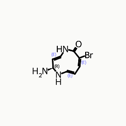 N[C@H]1/C=C/NC(=O)/C(Br)=C\C=C\N1